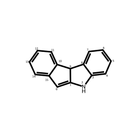 C1=C2Nc3ccccc3C2c2ccccc21